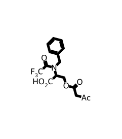 CC(=O)CC(=O)OCC(C(=O)O)N(Cc1ccccc1)C(=O)C(F)(F)F